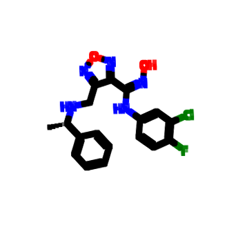 C[C@H](NCc1nonc1C(=NO)Nc1ccc(F)c(Cl)c1)c1ccccc1